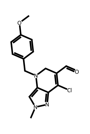 COc1ccc(CN2CC(C=O)=C(Cl)c3nn(C)cc32)cc1